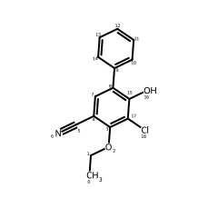 CCOc1c(C#N)cc(-c2ccccc2)c(O)c1Cl